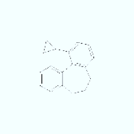 c1ccc2c(c1)CCCc1cccc(C3CC3)c1-2